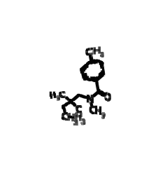 CCC(C)(C)CN(C)C(=O)c1ccc(C)cc1